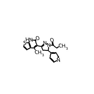 CCC(=O)N1N=C(c2c(C)c3ccsc3[nH]c2=O)CC1c1ccncc1